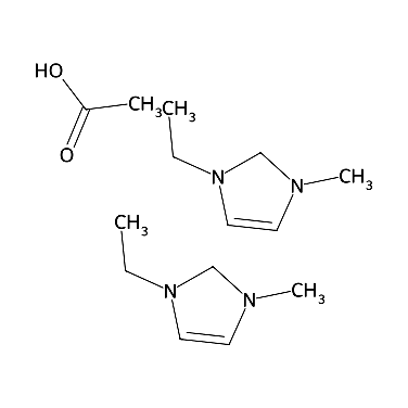 CC(=O)O.CCN1C=CN(C)C1.CCN1C=CN(C)C1